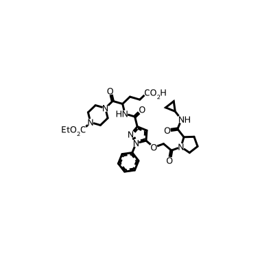 CCOC(=O)N1CCN(C(=O)C(CCC(=O)O)NC(=O)c2cc(OCC(=O)N3CCCC3C(=O)NC3CC3)n(-c3ccccc3)n2)CC1